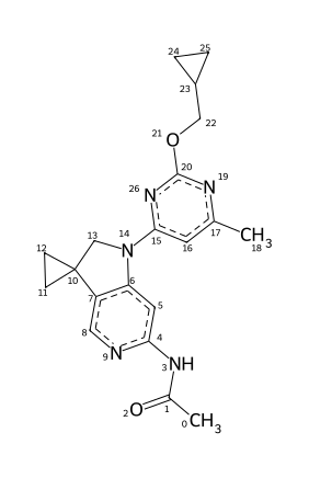 CC(=O)Nc1cc2c(cn1)C1(CC1)CN2c1cc(C)nc(OCC2CC2)n1